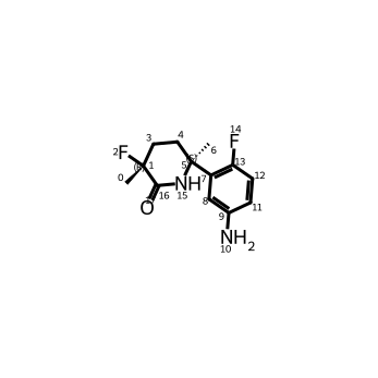 C[C@@]1(F)CC[C@@](C)(c2cc(N)ccc2F)NC1=O